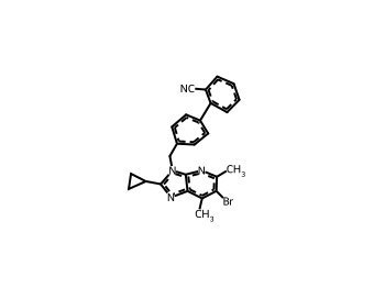 Cc1nc2c(nc(C3CC3)n2Cc2ccc(-c3ccccc3C#N)cc2)c(C)c1Br